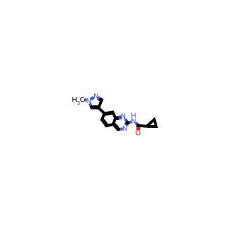 Cn1cc(-c2ccc3cnc(NC(=O)C4CC4)nc3c2)cn1